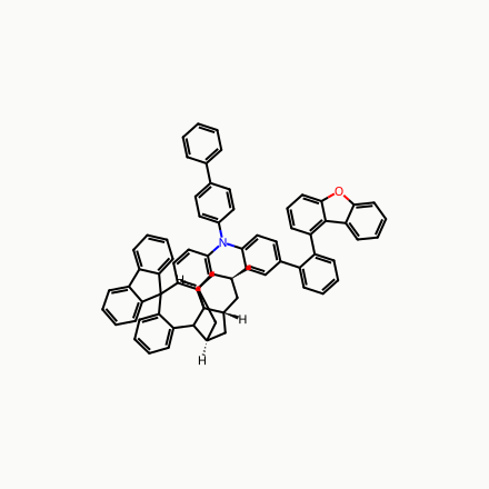 C[C@H]1C[C@@H]2C[C@@H]3C[C@H](C1)C21c2cc(N(c4ccc(-c5ccccc5)cc4)c4ccc(-c5ccccc5-c5cccc6oc7ccccc7c56)cc4)ccc2C2(c4ccccc4-c4ccccc42)c2ccccc2C31